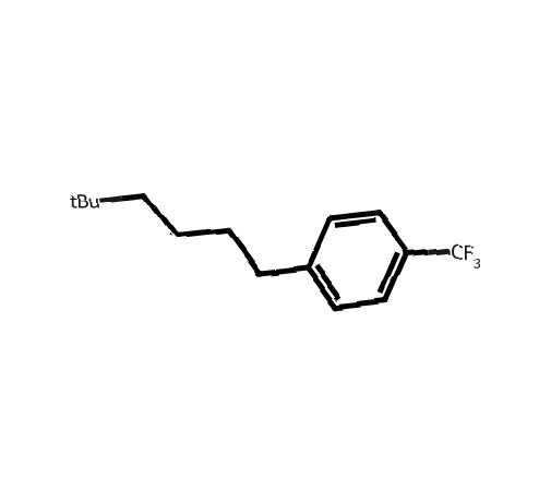 CC(C)(C)C[CH]CCc1ccc(C(F)(F)F)cc1